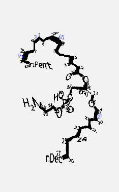 CCCCC/C=C\C/C=C\C/C=C\CCCCC(=O)O[C@H](CO/C=C\CCCCCCCCCCCCCCCC)COP(=O)(O)OCCN